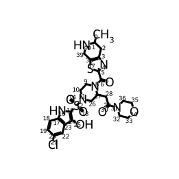 CC1Cc2nc(C(=O)N3CCN(S(=O)(=O)c4[nH]c5ccc(Cl)cc5c4O)CC3CC(=O)N3CCOCC3)sc2CN1